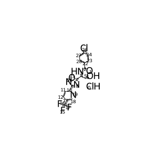 Cl.O=C(NC(CO)c1nc(-c2ccc(C(F)(F)F)cn2)no1)c1ccc(Cl)cc1